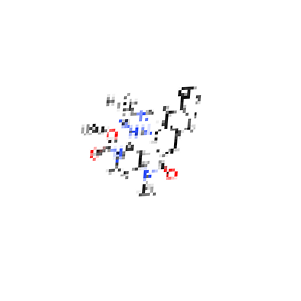 CCN(C(=O)C=Cc1ccc(C(F)(F)F)cc1Cn1nnc(C)n1)C1CCN(C(=O)OC(C)(C)C)CC1